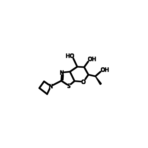 C[C@H](O)C1OC2SC(N3CCC3)=NC2C(O)C1O